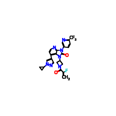 C=C(F)C(=O)N1CC(n2c(=O)n(-c3ccc(C(F)(F)F)nc3)c3nccc(-c4cnn(C5CC5)c4)c32)C1